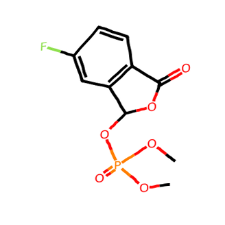 COP(=O)(OC)OC1OC(=O)c2ccc(F)cc21